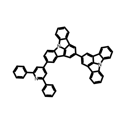 c1ccc(-c2cc(-c3ccc4c(c3)c3cc(-c5cc6c7ccccc7n7c8ccccc8c(c5)c67)cc5c6ccccc6n4c53)cc(-c3ccccc3)n2)cc1